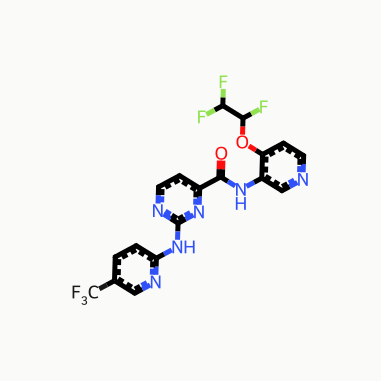 O=C(Nc1cnccc1OC(F)C(F)F)c1ccnc(Nc2ccc(C(F)(F)F)cn2)n1